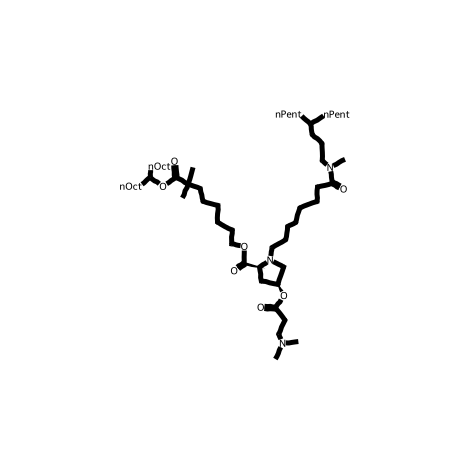 CCCCCCCCC(CCCCCCCC)OC(=O)C(C)(C)CCCCCCOC(=O)[C@@H]1C[C@H](OC(=O)CCN(C)C)CN1CCCCCCCC(=O)N(C)CCCC(CCCCC)CCCCC